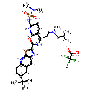 CC(C)CN(C)CC[C@@H](NC(=O)c1nc2cc3c(nc2s1)CC[C@H](C(C)(C)C)C3)c1ccc(NS(=O)(=O)N(C)C)nc1.O=C(O)C(F)(F)F